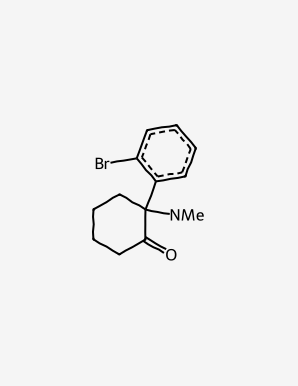 CNC1(c2ccccc2Br)CCCCC1=O